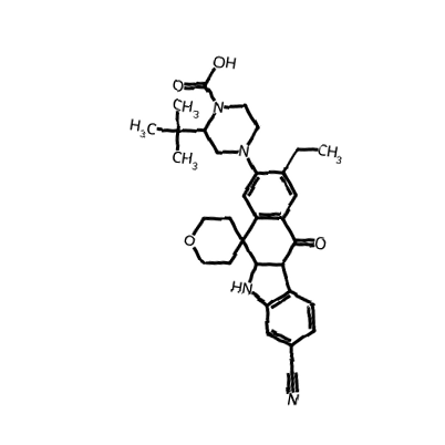 CCc1cc2c(cc1N1CCN(C(=O)O)C(C(C)(C)C)C1)C1(CCOCC1)C1Nc3cc(C#N)ccc3C1C2=O